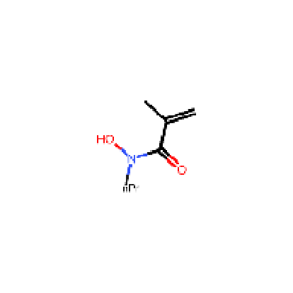 C=C(C)C(=O)N(O)CCC